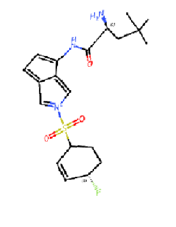 CC(C)(C)C[C@H](N)C(=O)NC1=CC=C2C=[N+](S(=O)(=O)C3C=C[C@@H](F)CC3)C=C21